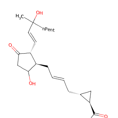 CCCCCC(C)(O)C=C[C@H]1C(=O)CC(O)[C@@H]1CC=CC[C@@H]1C[C@H]1C(=O)OC